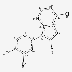 Fc1ccc(-n2c(Cl)cc3c(Cl)ncnc32)cc1Br